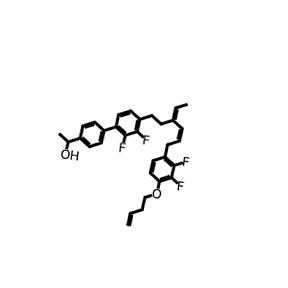 C=CCCOc1ccc(C/C=C\C(=C/C)CCc2ccc(-c3ccc(C(C)O)cc3)c(F)c2F)c(F)c1F